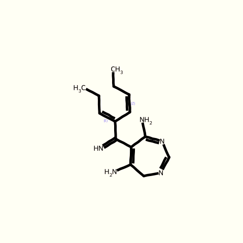 CC/C=C\C(=C/CC)C(=N)C1=C(N)CN=CN=C1N